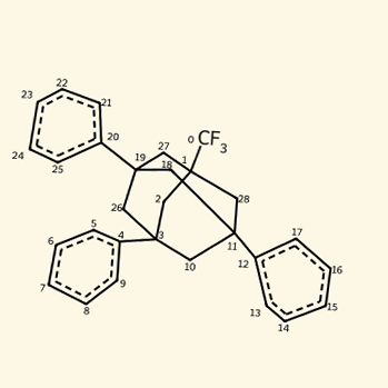 FC(F)(F)C12CC3(c4ccccc4)CC(c4ccccc4)(CC(c4ccccc4)(C3)C1)C2